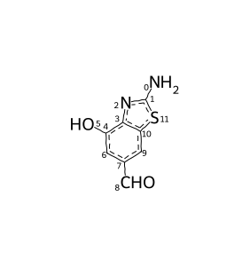 Nc1nc2c(O)cc(C=O)cc2s1